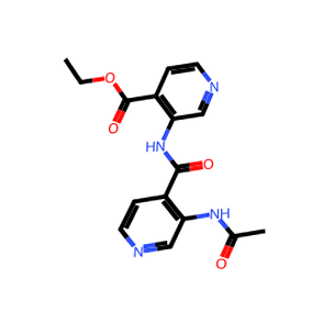 CCOC(=O)c1ccncc1NC(=O)c1ccncc1NC(C)=O